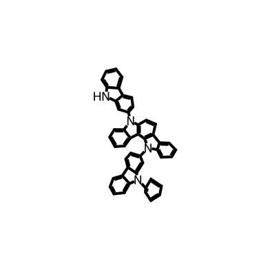 c1ccc(-n2c3ccccc3c3ccc(-n4c5ccccc5c5ccc6c(c7ccccc7n6-c6ccc7c(c6)[nH]c6ccccc67)c54)cc32)cc1